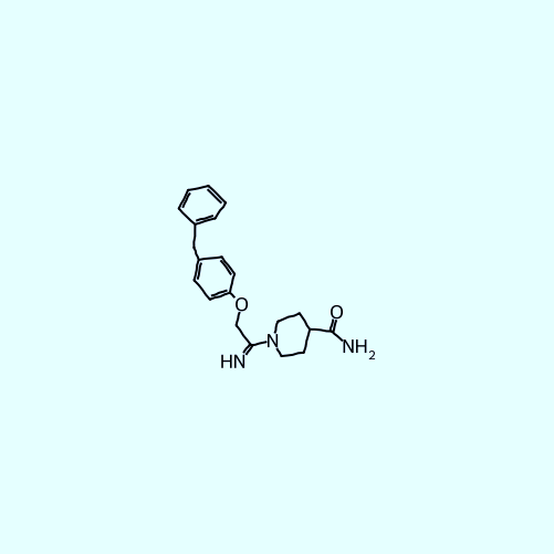 N=C(COc1ccc(Cc2ccccc2)cc1)N1CCC(C(N)=O)CC1